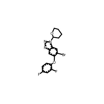 Fc1ccc(Oc2cc3nnn(C4CCCCO4)c3cc2Br)c(F)c1